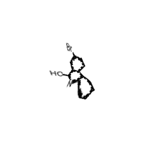 Oc1nc2ccccc2c2ccc(Br)cc12